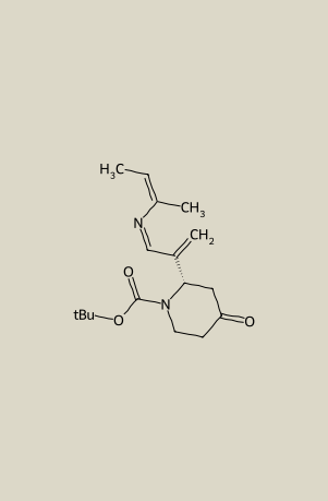 C=C(/C=N\C(C)=C/C)[C@@H]1CC(=O)CCN1C(=O)OC(C)(C)C